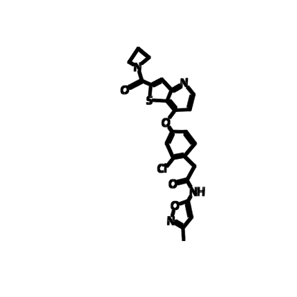 Cc1cc(NC(=O)Cc2ccc(Oc3ccnc4cc(C(=O)N5CCC5)sc34)cc2Cl)on1